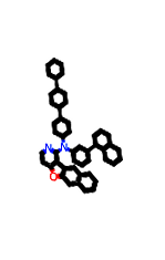 c1ccc(-c2ccc(-c3ccc(N(c4cccc(-c5cccc6ccccc56)c4)c4nccc5oc6cc7ccccc7cc6c45)cc3)cc2)cc1